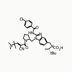 C[C@H](N(Cc1ccc2c(c1)nc(NC(=O)c1ccc(Cl)cc1)n2CC1CCCN1C(=O)C(C#N)=CC(C)(C)N(C)C)C(=O)O)C(C)(C)C